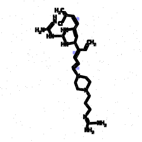 C=C/C(=C\C=C\N1CCN(CCCN=C(N)N)CC1)C1C=C(/C=C\C(=C)Cl)NC(NC(=N)N)N1